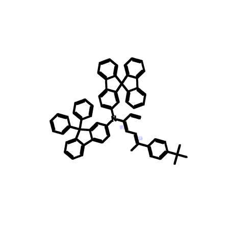 C=C/C(=C\C=C(/C)c1ccc(C(C)(C)C)cc1)N(c1ccc2c(c1)C(c1ccccc1)(c1ccccc1)c1ccccc1-2)c1ccc2c(c1)C1(c3ccccc3-c3ccccc31)c1ccccc1-2